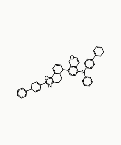 C1=CCCC(c2ccc(N(c3ccccc3)c3ccc(C4C=CC=C5c6oc(C7=CCC(c8ccccc8)C=C7)nc6CCC54)c4c3C=COC4)cc2)=C1